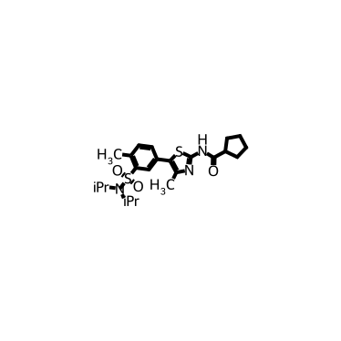 Cc1ccc(-c2sc(NC(=O)C3CCCC3)nc2C)cc1S(=O)(=O)N(C(C)C)C(C)C